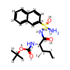 CC[C@H](C)[C@H](NC(=O)OC(C)(C)C)C(=O)N=S(N)(=O)c1ccc2ccccc2c1